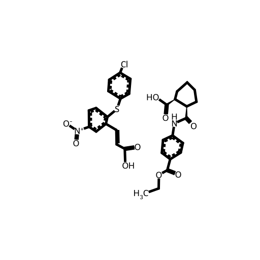 CCOC(=O)c1ccc(NC(=O)[C@@H]2CCCC[C@@H]2C(=O)O)cc1.O=C(O)/C=C/c1cc([N+](=O)[O-])ccc1Sc1ccc(Cl)cc1